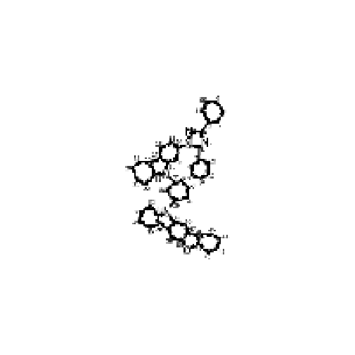 c1ccc(-c2nc(-c3ccccc3)n(-c3ccc4c5ccccc5n(-c5cccc(-n6c7ccccc7c7cc8oc9ccccc9c8cc76)c5)c4c3)n2)cc1